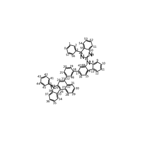 c1ccc(-c2nc(-n3c4ccccc4c4ccc(-c5cccc(-c6cc7c(c8ccccc68)c6ccccc6n7-c6ccccc6)c5)cc43)nc3ccccc23)cc1